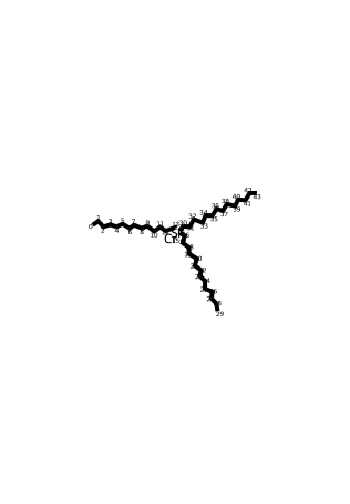 CCCCCCCCCCCCCC[Si]([Cr])(CCCCCCCCCCCCCC)CCCCCCCCCCCCCC